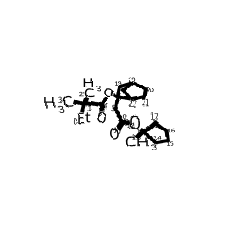 CCC(C)(C)C(=O)OC1(CC(=O)OC2(C)CCCC2)CC2CCC1C2